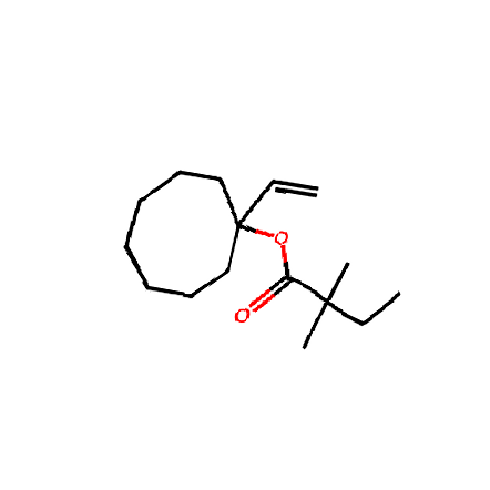 C=CC1(OC(=O)C(C)(C)CC)CCCCCCC1